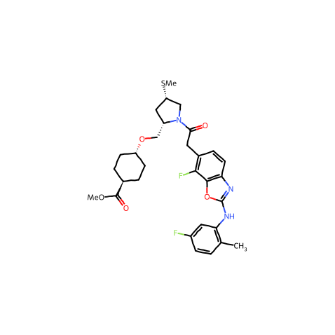 COC(=O)[C@H]1CC[C@H](OC[C@@H]2C[C@H](SC)CN2C(=O)Cc2ccc3nc(Nc4cc(F)ccc4C)oc3c2F)CC1